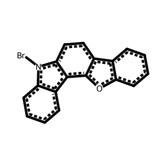 Brn1c2ccccc2c2c3oc4ccccc4c3ccc21